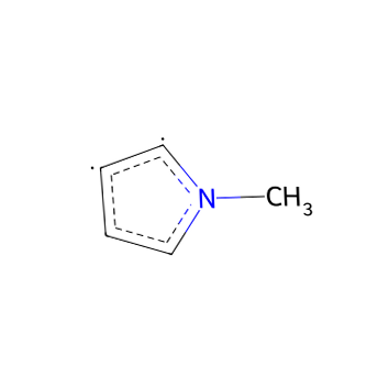 Cn1[c][c]cc1